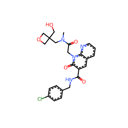 CN(CC1(CO)COC1)C(=O)Cn1c(=O)c(C(=O)NCc2ccc(Cl)cc2)cc2cccnc21